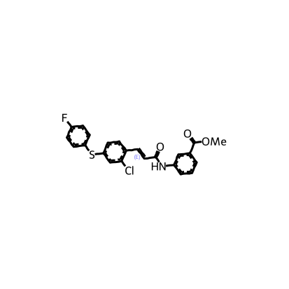 COC(=O)c1cccc(NC(=O)/C=C/c2ccc(Sc3ccc(F)cc3)cc2Cl)c1